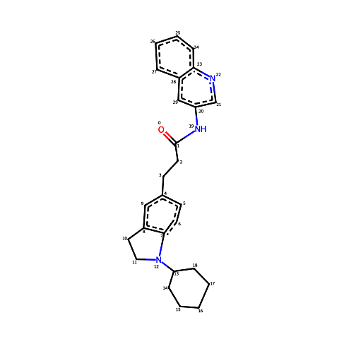 O=C(CCc1ccc2c(c1)CCN2C1CCCCC1)Nc1cnc2ccccc2c1